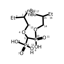 CCCCC(CC)COC(P(=O)(O)O)P(=O)(O)OCC(CC)CCCC